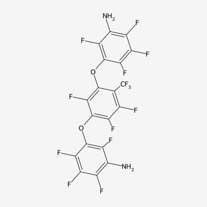 Nc1c(F)c(F)c(F)c(Oc2c(F)c(F)c(C(F)(F)F)c(Oc3c(F)c(N)c(F)c(F)c3F)c2F)c1F